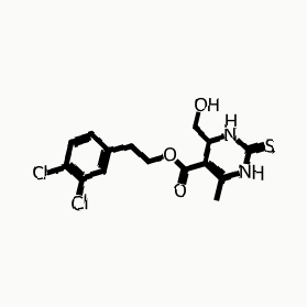 CC1=C(C(=O)OCCc2ccc(Cl)c(Cl)c2)C(CO)NC(=S)N1